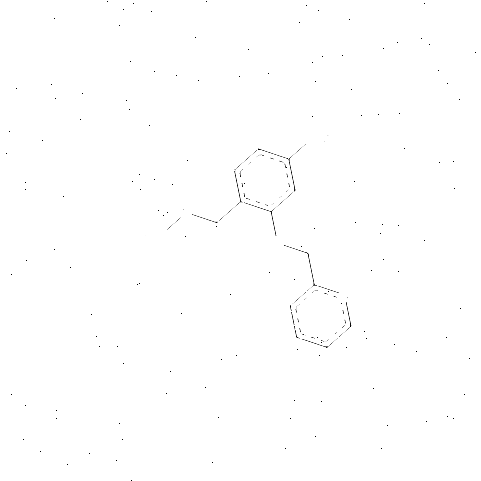 CCCCCNCc1ccc(OC)cc1OCc1ccccn1